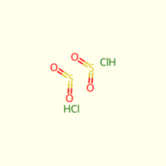 Cl.Cl.O=S=O.O=S=O